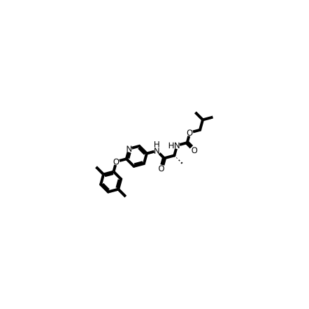 Cc1ccc(C)c(Oc2ccc(NC(=O)[C@@H](C)NC(=O)OCC(C)C)cn2)c1